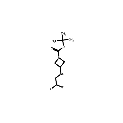 CC(C)(C)OC(=O)N1CC(NCC(F)F)C1